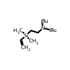 C=C[Si](C)(C)CCN(C(C)CC)C(C)CC